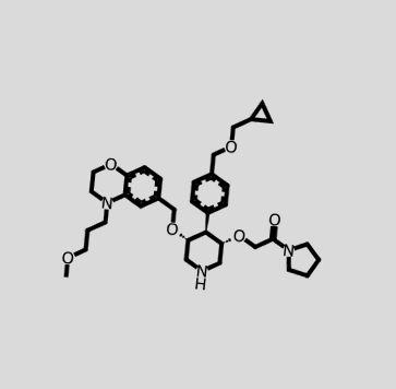 COCCCN1CCOc2ccc(CO[C@H]3CNC[C@@H](OCC(=O)N4CCCC4)[C@@H]3c3ccc(COCC4CC4)cc3)cc21